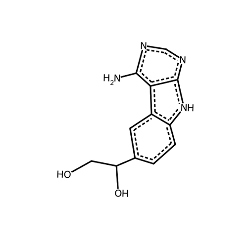 Nc1ncnc2[nH]c3ccc(C(O)CO)cc3c12